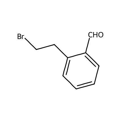 O=Cc1ccccc1CCBr